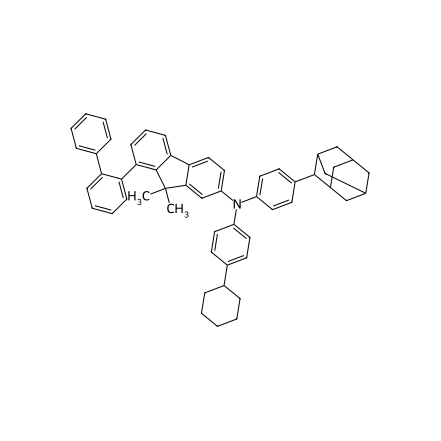 CC1(C)c2cc(N(c3ccc(C4CCCCC4)cc3)c3ccc(C4C5CC6CC(C5)CC4C6)cc3)ccc2-c2cccc(-c3ccccc3-c3ccccc3)c21